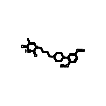 COc1ccc(OC)c(N2CCN(CCCCn3cc(C)c(=O)[nH]c3=O)CC2)c1